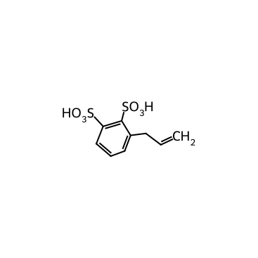 C=CCc1cccc(S(=O)(=O)O)c1S(=O)(=O)O